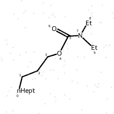 CCCCCCCCCCOC(=O)N(CC)CC